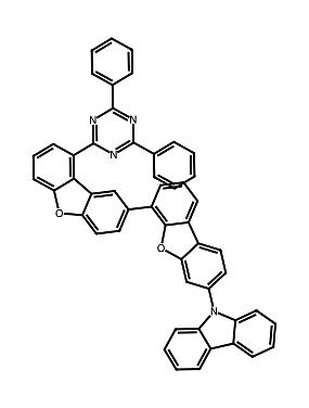 c1ccc(-c2nc(-c3ccccc3)nc(-c3cccc4oc5ccc(-c6cccc7c6oc6cc(-n8c9ccccc9c9ccccc98)ccc67)cc5c34)n2)cc1